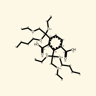 CCCCOC(COCC)(OCC)c1ccc(C(=O)O)c(C(COCC)(OCC)OCCCC)c1C(=O)O